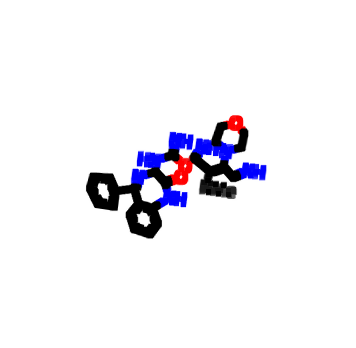 CN/C(C(=N)OC(=N)NC1N=C(c2ccccc2)c2ccccc2NC1=O)=C(\C=N)N1CCOCC1